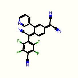 N#CC(C#N)=c1cc/c(=C(/C#N)c2c(F)c(F)c(C#N)c(F)c2F)c(-c2cccnc2)c1